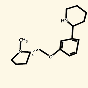 CN1CCC[C@H]1COc1cccc(C2CCCCN2)c1